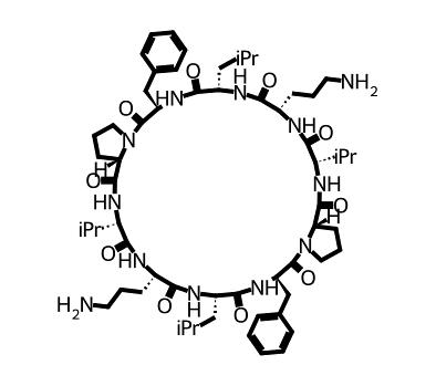 CC(C)C[C@@H]1NC(=O)[C@H](CCCN)NC(=O)[C@H](C(C)C)NC(=O)[C@@H]2CCCN2C(=O)[C@@H](Cc2ccccc2)NC(=O)[C@H](CC(C)C)NC(=O)[C@H](CCCN)NC(=O)[C@H](C(C)C)NC(=O)[C@@H]2CCCN2C(=O)[C@@H](Cc2ccccc2)NC1=O